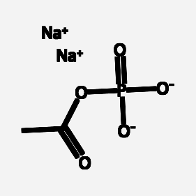 CC(=O)OP(=O)([O-])[O-].[Na+].[Na+]